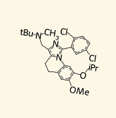 COc1cc2c(cc1OC(C)C)-n1c(-c3cc(Cl)ccc3Cl)nc(CN(C)C(C)(C)C)c1CC2